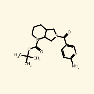 CC(C)(C)OC(=O)N1CCCC2CN(C(=O)c3ccc(N)nc3)CC21